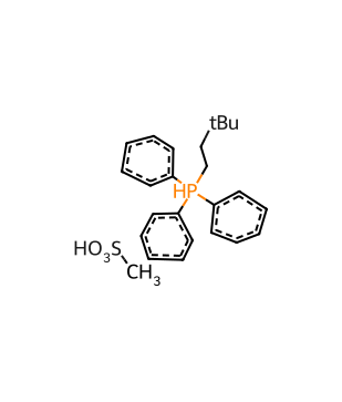 CC(C)(C)CC[PH](c1ccccc1)(c1ccccc1)c1ccccc1.CS(=O)(=O)O